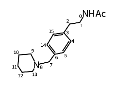 CC(=O)NCCc1ccc(CN2CCCCC2)cc1